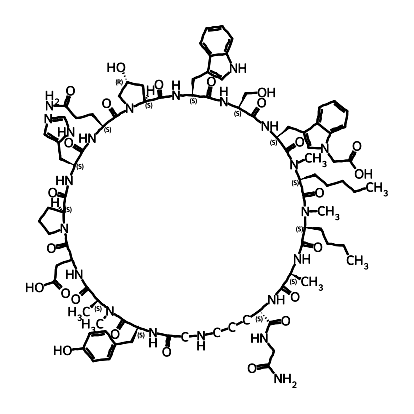 CCCCC[C@H]1C(=O)N(C)[C@@H](CCCC)C(=O)N[C@@H](C)C(=O)N[C@H](C(=O)NCC(N)=O)CCCNCC(=O)N[C@@H](Cc2ccc(O)cc2)C(=O)N(C)[C@@H](C)C(=O)NC(CC(=O)O)C(=O)N2CCC[C@H]2C(=O)N[C@@H](Cc2cnc[nH]2)C(=O)N[C@@H](CCC(N)=O)C(=O)N2C[C@H](O)C[C@H]2C(=O)N[C@@H](Cc2c[nH]c3ccccc23)C(=O)N[C@@H](CO)C(=O)N[C@@H](Cc2cn(CC(=O)O)c3ccccc23)C(=O)N1C